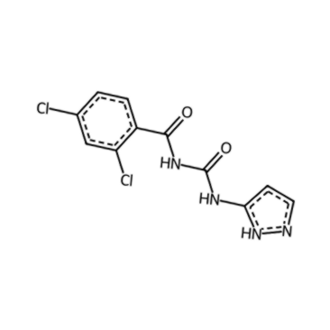 O=C(NC(=O)c1ccc(Cl)cc1Cl)Nc1ccn[nH]1